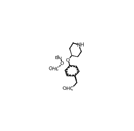 CC(C)(C)OC=O.O=CCc1ccc(OC2CCNCC2)cc1